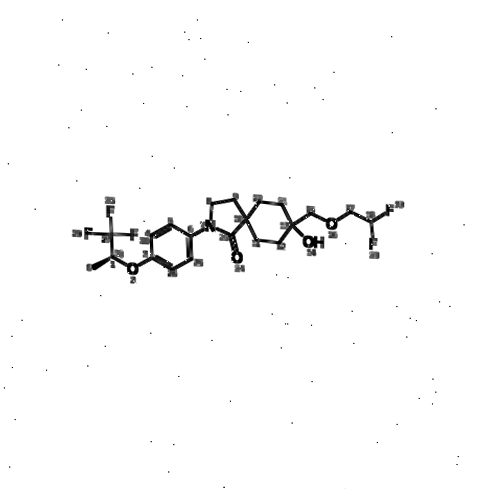 C[C@H](Oc1ccc(N2CCC3(CCC(O)(COCC(F)F)CC3)C2=O)cc1)C(F)(F)F